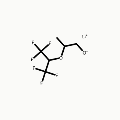 CC(C[O-])OC(C(F)(F)F)C(F)(F)F.[Li+]